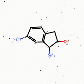 Nc1ccc2c(c1)C(N)C(O)C2